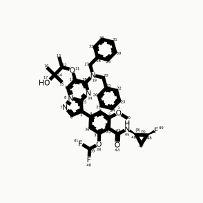 COc1cc(-c2cnn3cc(OC(C)C(C)(C)O)c(N(Cc4ccccc4)Cc4ccccc4)nc23)cc(OC(F)F)c1C(=O)N[C@@H]1C[C@@H]1F